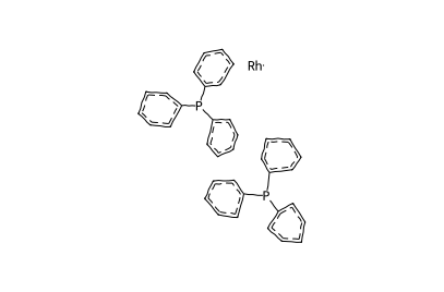 [Rh].c1ccc(P(c2ccccc2)c2ccccc2)cc1.c1ccc(P(c2ccccc2)c2ccccc2)cc1